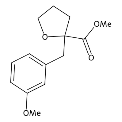 COC(=O)C1(Cc2cccc(OC)c2)CCCO1